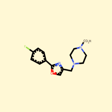 O=C(O)N1CCN(Cc2coc(-c3ccc(F)cc3)n2)CC1